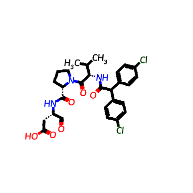 CC(C)[C@H](NC(=O)C(c1ccc(Cl)cc1)c1ccc(Cl)cc1)C(=O)N1CCC[C@H]1C(=O)N[C@H](C=O)CC(=O)O